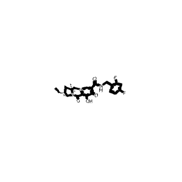 CC[C@H]1CN2C(=O)c3c(O)c(=O)c(C(=O)NCc4ccc(F)cc4F)cn3C[C@]2(C)C1